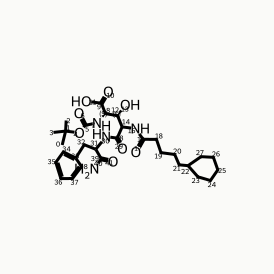 CC(C)(C)OC(=O)N[C@H](C(=O)O)[C@@H](O)C(NC(=O)CCCCC1CCCCC1)C(=O)NC(Cc1ccccc1)C(N)=O